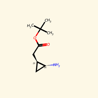 CC(C)(C)OC(=O)C[C@@H]1C[C@H]1N